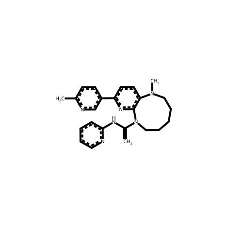 C=C(Nc1ccccn1)N1CCCCCN(C)c2ccc(-c3ccc(C)nc3)nc21